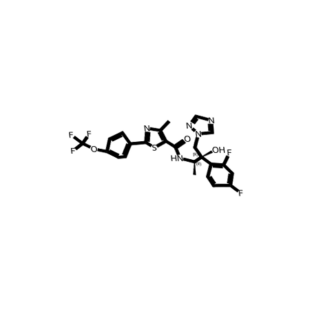 Cc1nc(-c2ccc(OC(F)(F)F)cc2)sc1C(=O)N[C@H](C)[C@](O)(Cn1cncn1)c1ccc(F)cc1F